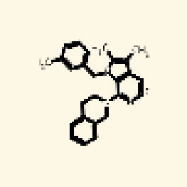 Cc1cccc(Cn2c(C)c(C)c3ccnc(N4CCc5ccccc5C4)c32)c1.Cl